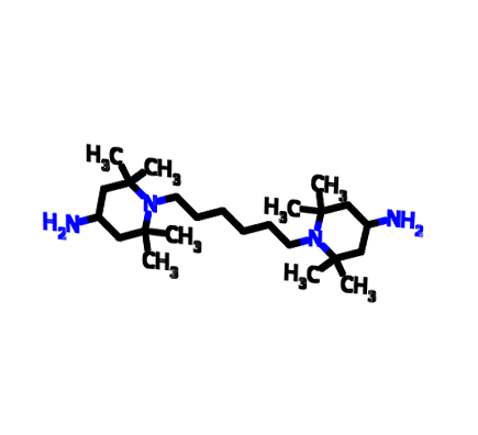 CC1(C)CC(N)CC(C)(C)N1CCCCCCN1C(C)(C)CC(N)CC1(C)C